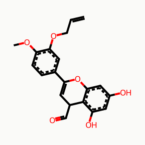 C=CCOc1cc(C2=CC(C=O)c3c(O)cc(O)cc3O2)ccc1OC